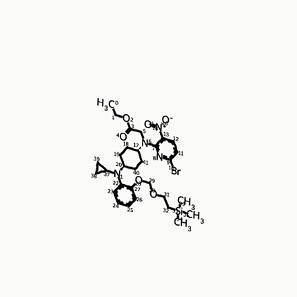 CCOC(=O)CN(c1nc(Br)ccc1[N+](=O)[O-])[C@H]1CC[C@H](N(c2ccccc2OCOCC[Si](C)(C)C)C2CC2)CC1